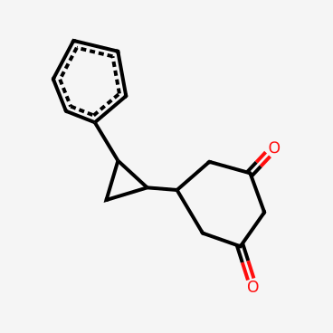 O=C1CC(=O)CC(C2CC2c2ccccc2)C1